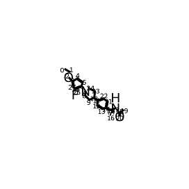 CCOc1ccc(N2CCC(c3ccc([C@H](C)NC(C)=O)cc3)CC2)c(F)c1